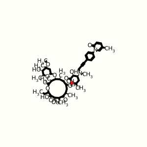 CCC1OC(=O)[C@H](C)[C@H](OC2C[C@@](C)(OC)[C@@H](O)[C@H](C)O2)[C@H](C)[C@@H](OC2O[C@H](C)C[C@H](N(C)CC#Cc3ccc(-n4cc(C)ccc4=O)cc3)[C@H]2O)[C@@](C)(OC)C[C@@H](C)C(=O)C(C)[C@@H](O)[C@]1(C)O